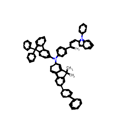 C=C(/C=C\c1cc2ccccc2n1-c1ccccc1)c1ccc(N(c2ccc3c(c2)-c2ccccc2C3(c2ccccc2)c2ccccc2)C2C=C3C(=CC2)c2ccc(-c4ccc(-c5ccccc5)cc4)cc2C3(C)C)cc1